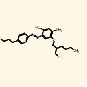 CCCCc1ccc(N=Nc2cc(OCC(CC)CCCC)c(N)cc2C)cc1